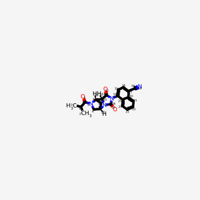 CC(C)C(=O)N1C[C@@H]2C[C@H]1[C@@H]1C(=O)N(c3ccc(C#N)c4ccccc34)C(=O)N21